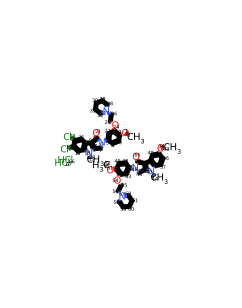 COc1ccc(N2Cc3c(c4cc(Cl)c(Cl)cc4n3C)C2=O)cc1OCCN1CCCCC1.COc1ccc2c(c1)c1c(n2C)CN(c2ccc(OC)c(OCCN3CCCCC3)c2)C1=O.Cl.Cl